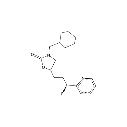 O=C1OC(CC[C@H](F)c2ccccn2)CN1CC1CCCCC1